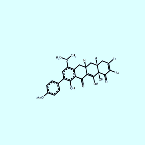 CCC1=C(C(C)=O)C(=O)[C@]2(O)C(O)=C3C(=O)c4c(O)c(-c5ccc(OC)cc5)cc(N(C)C)c4C[C@@H]3C[C@@H]2C1